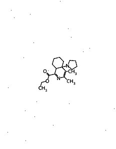 CCOC(=O)C1=NC(C)=C(C)C2(N3CCCC3)CCCCC12